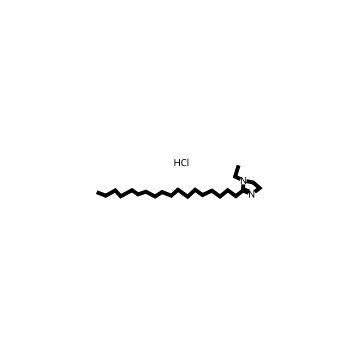 CCCCCCCCCCCCCCCCCCC1=NCCN1CC.Cl